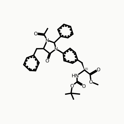 COC(=O)[C@H](Cc1ccc(N2C(=O)C(Cc3ccccc3)N(C(C)=O)C2c2ccccc2)cc1)NC(=O)OC(C)(C)C